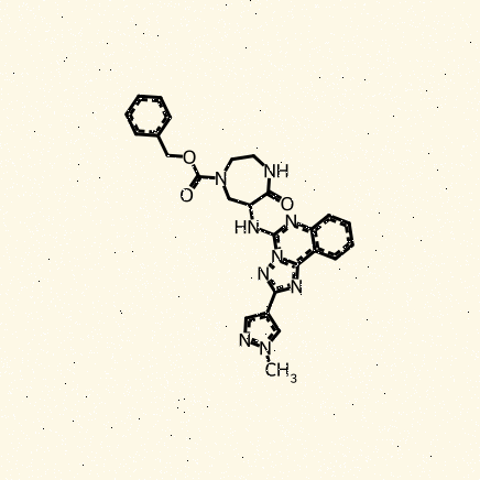 Cn1cc(-c2nc3c4ccccc4nc(NC4CN(C(=O)OCc5ccccc5)CCNC4=O)n3n2)cn1